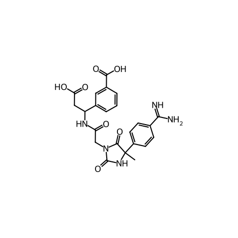 CC1(c2ccc(C(=N)N)cc2)NC(=O)N(CC(=O)NC(CC(=O)O)c2cccc(C(=O)O)c2)C1=O